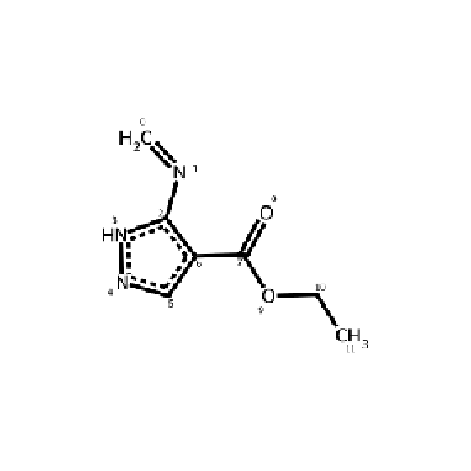 C=Nc1[nH]ncc1C(=O)OCC